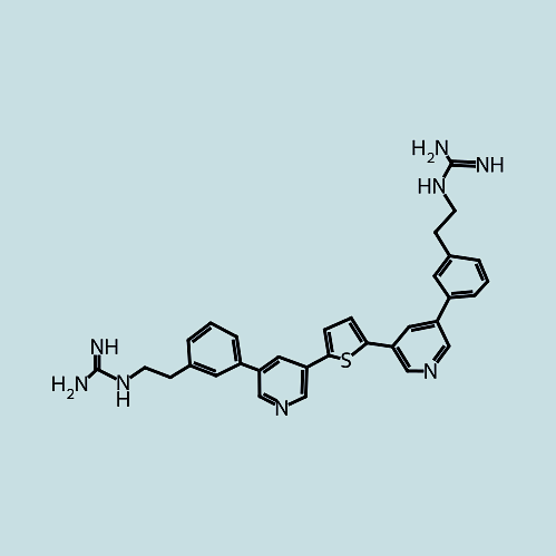 N=C(N)NCCc1cccc(-c2cncc(-c3ccc(-c4cncc(-c5cccc(CCNC(=N)N)c5)c4)s3)c2)c1